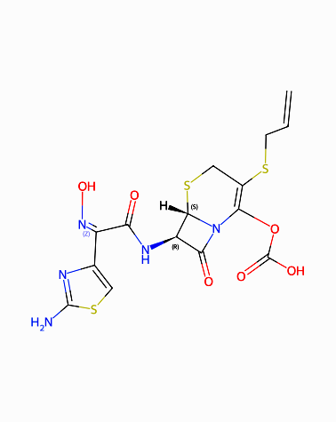 C=CCSC1=C(OC(=O)O)N2C(=O)[C@@H](NC(=O)/C(=N\O)c3csc(N)n3)[C@@H]2SC1